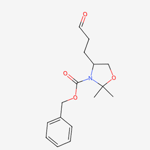 CC1(C)OCC(CCC=O)N1C(=O)OCc1ccccc1